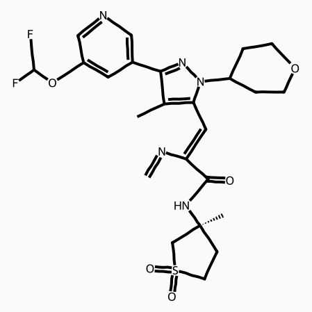 C=N/C(=C\c1c(C)c(-c2cncc(OC(F)F)c2)nn1C1CCOCC1)C(=O)N[C@@]1(C)CCS(=O)(=O)C1